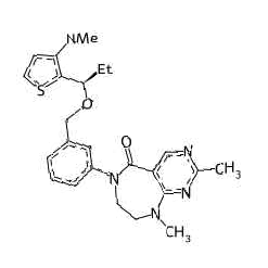 CC[C@@H](OCc1cccc(N2CCN(C)c3nc(C)ncc3C2=O)c1)c1sccc1NC